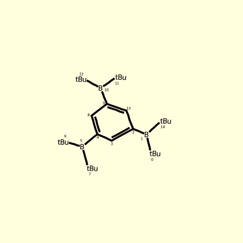 CC(C)(C)B(c1cc(B(C(C)(C)C)C(C)(C)C)cc(B(C(C)(C)C)C(C)(C)C)c1)C(C)(C)C